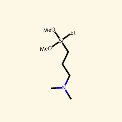 CC[Si](CCCN(C)C)(OC)OC